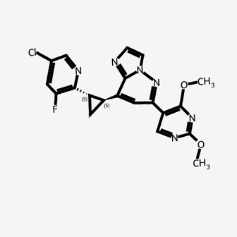 COc1ncc(-c2cc([C@H]3C[C@@H]3c3ncc(Cl)cc3F)c3nccn3n2)c(OC)n1